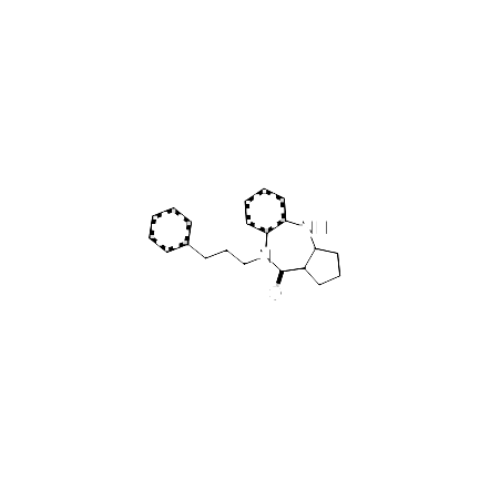 O=C1C2CCCC2Nc2ccccc2N1CCCc1ccccc1